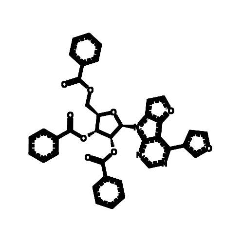 O=C(OC[C@H]1O[C@@H](n2c3ccoc3c3c(-c4ccoc4)ncnc32)[C@H](OC(=O)c2ccccc2)[C@@H]1OC(=O)c1ccccc1)c1ccccc1